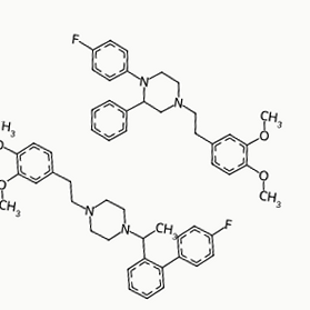 COc1ccc(CCN2CCN(C(C)c3ccccc3-c3ccc(F)cc3)CC2)cc1OC.COc1ccc(CCN2CCN(c3ccc(F)cc3)C(c3ccccc3)C2)cc1OC